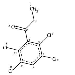 [CH2]CC(=O)c1c(Cl)c(Cl)cc(Cl)c1Cl